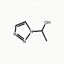 CC(O)n1c[c]nn1